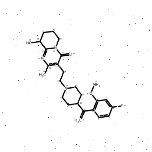 C=C(c1ccc(F)cc1ON)C1CCN(CCc2c(C)nc3n(c2=O)CCCC3O)CC1